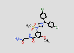 COc1cc(C(=O)NCCC(N)=O)cc(N(C2CN(C(c3ccc(Cl)cc3)c3ccc(Cl)cc3)C2)S(C)(=O)=O)c1